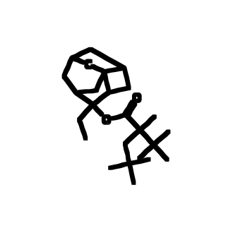 CCC1(OC(=O)C(C)(CC(C)(C)C)C(C)(C)C)C2CC3CC4CC1C4(C3)C2